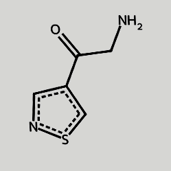 NCC(=O)c1cnsc1